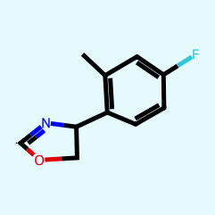 Cc1cc(F)ccc1C1CO[C]=N1